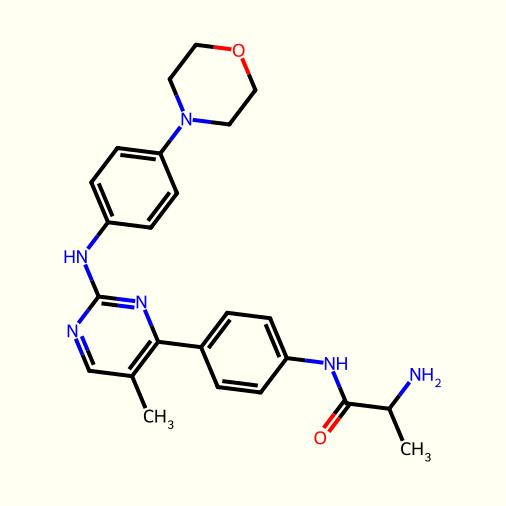 Cc1cnc(Nc2ccc(N3CCOCC3)cc2)nc1-c1ccc(NC(=O)C(C)N)cc1